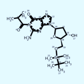 CC(C)C(=O)n1c(N)nc2c(ncn2[C@H]2C[C@H](O)[C@@H](CO[Si](C)(C)C(C)(C)C)O2)c1=O